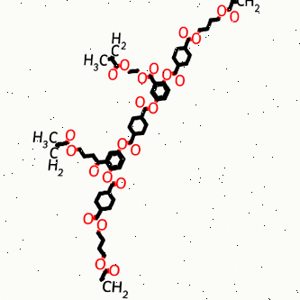 C=CC(=O)OCCCCOC(=O)C1CCC(C(=O)Oc2ccc(OC(=O)C3CCC(C(=O)Oc4ccc(OC(=O)C5CCC(C(=O)OCCCCOC(=O)C=C)CC5)c(C(=O)OCCOC(=O)C(=C)C)c4)CC3)cc2C(=O)CCCOC(=O)C(=C)C)CC1